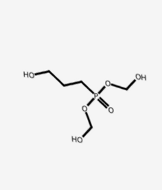 O=P(CCCO)(OCO)OCO